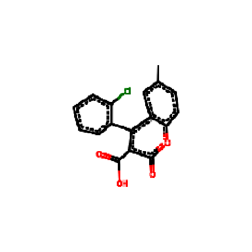 Cc1ccc2oc(=O)c(C(=O)O)c(-c3ccccc3Cl)c2c1